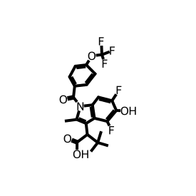 Cc1c(C(C(=O)O)C(C)(C)C)c2c(F)c(O)c(F)cc2n1C(=O)c1ccc(OC(F)(F)F)cc1